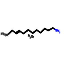 CCCCCCCCC=CCCCCCCCCN.[TeH2]